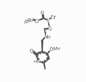 CCN(OCNCc1c(OC)cc(C)[nH]c1=O)C(=O)OC(C)(C)C